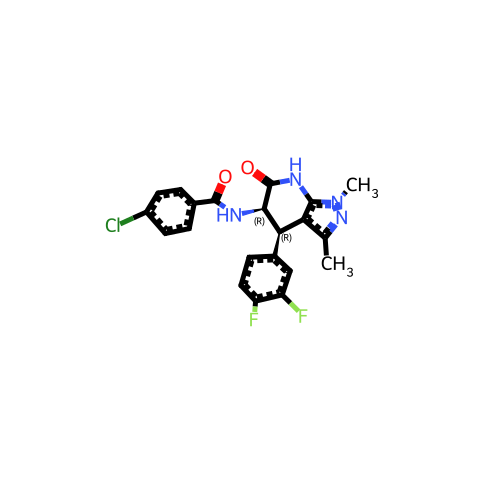 Cc1nn(C)c2c1[C@@H](c1ccc(F)c(F)c1)[C@@H](NC(=O)c1ccc(Cl)cc1)C(=O)N2